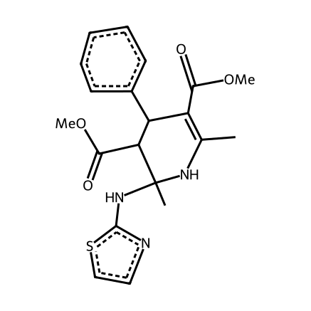 COC(=O)C1=C(C)NC(C)(Nc2nccs2)C(C(=O)OC)C1c1ccccc1